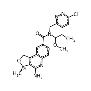 CCC(OC)N(Cc1ccc(Cl)nn1)C(=O)c1cc2c3c(c(N)nc2cn1)[C@@H](C)OC3